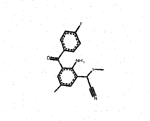 CSC(C#N)c1cc(C)cc(C(=O)c2ccc(F)cc2)c1N